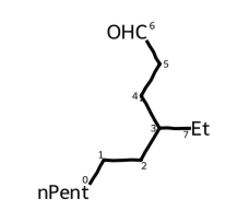 CCCCCCCC([CH]CC=O)CC